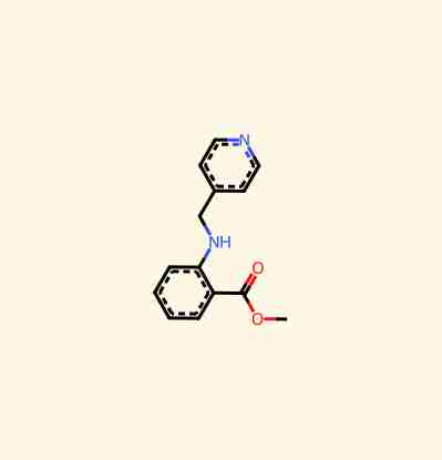 COC(=O)c1ccccc1NCc1ccncc1